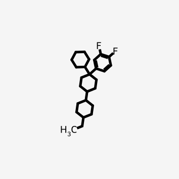 CCC1CCC(C2CCC(c3ccc(F)c(F)c3)(C3CCCCC3)CC2)CC1